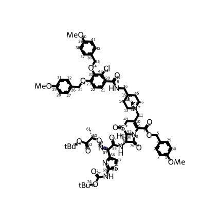 COc1ccc(COC(=O)C2=C(C[N+]34CCC(CNC(=O)c5ccc(OCc6ccc(OC)cc6)c(OCc6ccc(OC)cc6)c5Cl)(CC3)CC4)C[S+]([O-])[C@@H]3[C@H](NC(=O)/C(=N\O[C@@H](C)C(=O)OC(C)(C)C)c4csc(NC(=O)OC(C)(C)C)n4)C(=O)N23)cc1